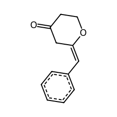 O=C1CCOC(=Cc2ccccc2)C1